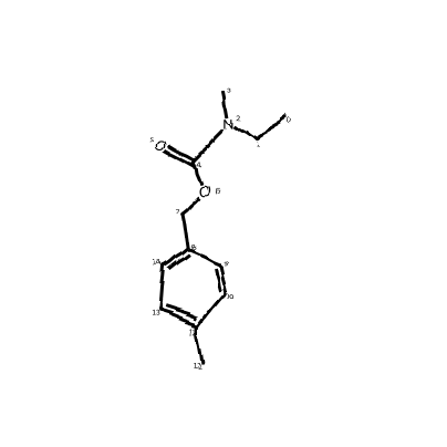 CCN(C)C(=O)OCc1ccc(C)cc1